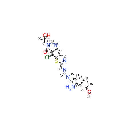 C=N/C(=C\N=C(/C)N1CCC2(CC1)Cc1ccc(OC)cc1[C@H]2N)Sc1ccc2ncn(CC(C)(C)O)c(=O)c2c1Cl